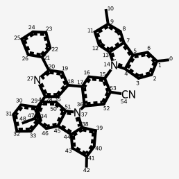 Cc1ccc2c(c1)c1cc(C)ccc1n2-c1cc(-c2cc(-c3ccccc3)nc(-c3ccccc3)c2)c(-n2c3ccc(C)cc3c3cc(C)ccc32)cc1C#N